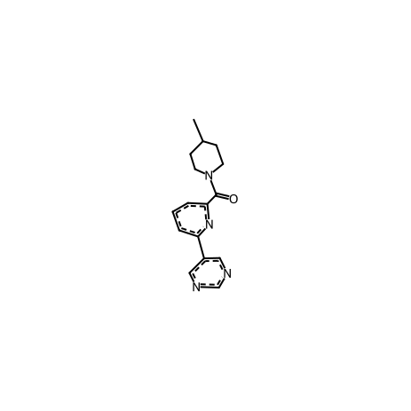 CC1CCN(C(=O)c2cccc(-c3cncnc3)n2)CC1